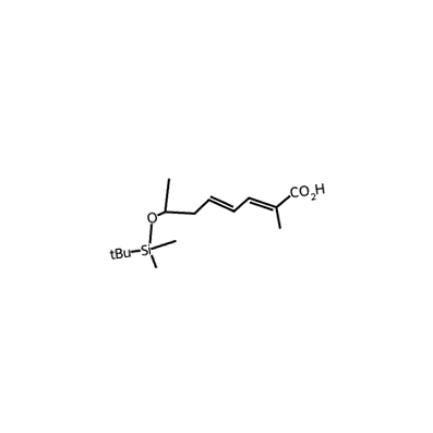 CC(=CC=CCC(C)O[Si](C)(C)C(C)(C)C)C(=O)O